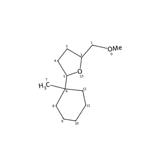 COCC1CCC(C2(C)CCCCC2)O1